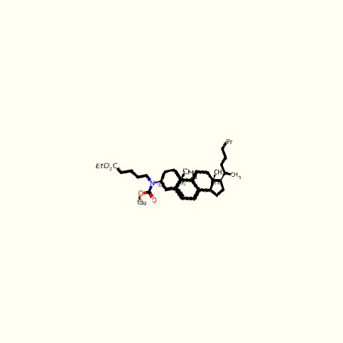 CCOC(=O)CCCCN(C(=O)OC(C)(C)C)[C@H]1CC[C@@]2(C)C(=CCC3C2CC[C@@]2(C)C3CC[C@@H]2C(C)CCCC(C)C)C1